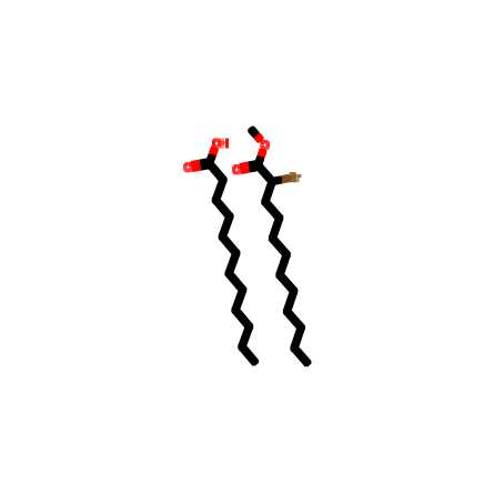 CCCCCCCCCCC(Br)C(=O)OC.CCCCCCCCCCCC(=O)O